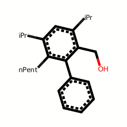 CCCCCc1c(C(C)C)cc(C(C)C)c(CO)c1-c1ccccc1